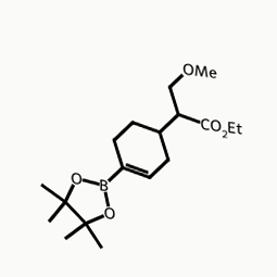 CCOC(=O)C(COC)C1CC=C(B2OC(C)(C)C(C)(C)O2)CC1